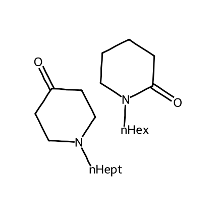 CCCCCCCN1CCC(=O)CC1.CCCCCCN1CCCCC1=O